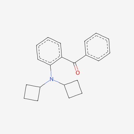 O=C(c1ccccc1)c1ccccc1N(C1CCC1)C1CCC1